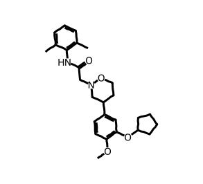 COc1ccc(C2CCON(CC(=O)Nc3c(C)cccc3C)C2)cc1OC1CCCC1